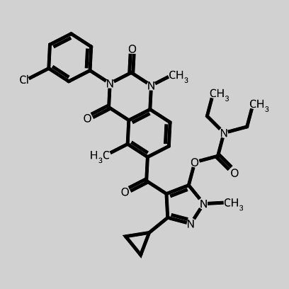 CCN(CC)C(=O)Oc1c(C(=O)c2ccc3c(c2C)c(=O)n(-c2cccc(Cl)c2)c(=O)n3C)c(C2CC2)nn1C